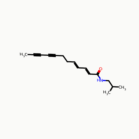 CC#CC#CCCC=CC=CC(=O)NCC(C)C